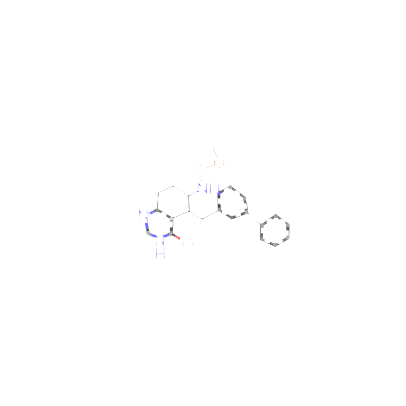 COSNC1CCc2nc[nH]c(=O)c2C1Cc1cccc(-c2ccccc2)c1